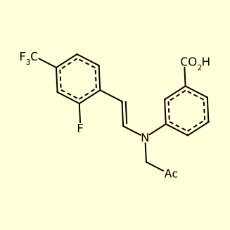 CC(=O)CN(C=Cc1ccc(C(F)(F)F)cc1F)c1cccc(C(=O)O)c1